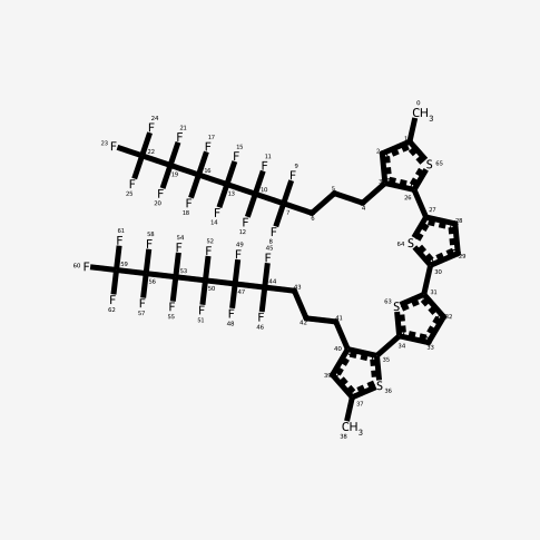 Cc1cc(CCCC(F)(F)C(F)(F)C(F)(F)C(F)(F)C(F)(F)C(F)(F)F)c(-c2ccc(-c3ccc(-c4sc(C)cc4CCCC(F)(F)C(F)(F)C(F)(F)C(F)(F)C(F)(F)C(F)(F)F)s3)s2)s1